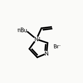 C=C[N+]1(CCCC)C=CN=C1.[Br-]